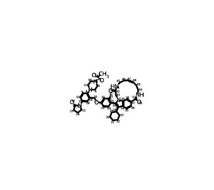 CS(=O)(=O)N1CCN(c2ccc(N3CCCC3=O)cc2COc2ccc(-c3c(C4CCCCC4)c4ccc5cc4n3CC(=O)NCCC=CCCNC5=O)c(F)c2)CC1